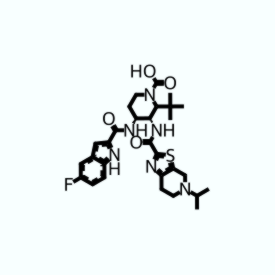 CC(C)N1CCc2nc(C(=O)N[C@H]3C(C(C)(C)C)N(C(=O)O)CC[C@@H]3NC(=O)c3cc4cc(F)ccc4[nH]3)sc2C1